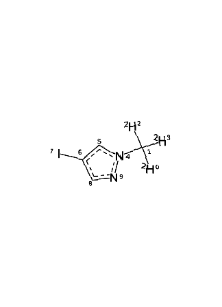 [2H]C([2H])([2H])n1cc(I)cn1